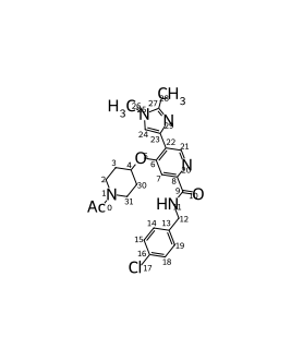 CC(=O)N1CCC(Oc2cc(C(=O)NCc3ccc(Cl)cc3)ncc2-c2cn(C)c(C)n2)CC1